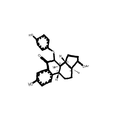 CC(=O)OC1CC[C@H]2[C@@H]3C(Sc4ccc(O)cc4)C(=O)c4cc(O)ccc4[C@H]3CC[C@]12C